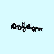 CC(C)Cn1cc(-c2cc(C(=O)N[C@@H]3CCN(c4cccnn4)C3)cs2)cn1